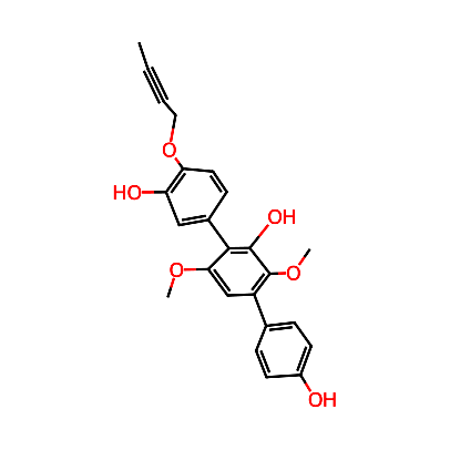 CC#CCOc1ccc(-c2c(OC)cc(-c3ccc(O)cc3)c(OC)c2O)cc1O